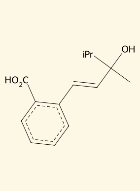 CC(C)C(C)(O)/C=C/c1ccccc1C(=O)O